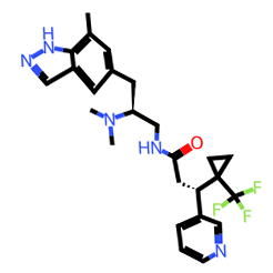 Cc1cc(C[C@@H](CNC(=O)C[C@@H](c2cccnc2)C2(C(F)(F)F)CC2)N(C)C)cc2cn[nH]c12